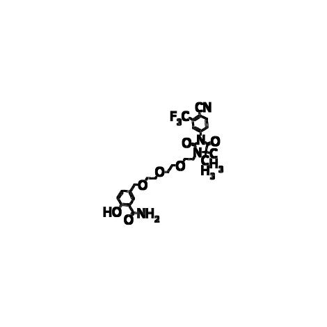 CC1(C)C(=O)N(c2ccc(C#N)c(C(F)(F)F)c2)C(=O)N1CCOCCOCCOCc1ccc(O)c(C(N)=O)c1